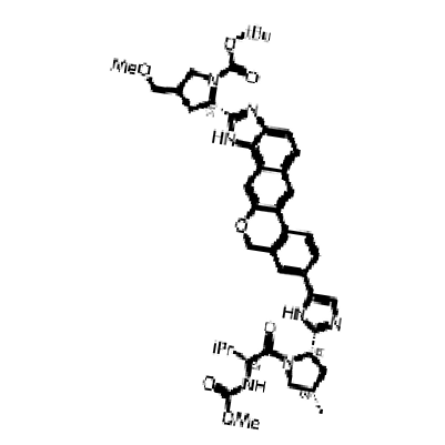 COCC1C[C@@H](c2nc3ccc4cc5c(cc4c3[nH]2)OCc2cc(-c3cnc([C@@H]4C[C@H](C)CN4C(=O)[C@@H](NC(=O)OC)C(C)C)[nH]3)ccc2-5)N(C(=O)OC(C)(C)C)C1